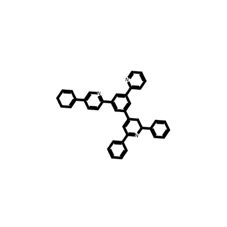 C1=CC(c2ccc(-c3cc(C4=CC(c5ccccc5)=NC(c5ccccc5)C4)cc(-c4ccccn4)c3)nc2)=CCC1